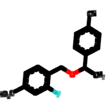 CC(OCc1ccc(C(=O)O)cc1F)c1ccc(C#N)cc1